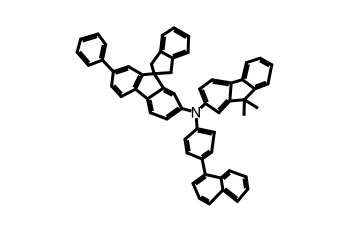 CC1(C)c2ccccc2-c2ccc(N(c3ccc(-c4cccc5ccccc45)cc3)c3ccc4c(c3)C3(Cc5ccccc5C3)c3cc(-c5ccccc5)ccc3-4)cc21